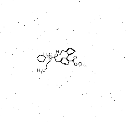 CCCC[N+](C)(C(=O)Cc1ccc(C(=O)OC)c(-c2ccccc2C)c1)C1CCCCC1